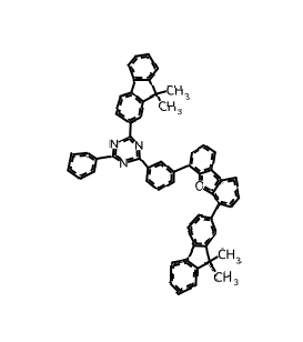 CC1(C)c2ccccc2-c2ccc(-c3nc(-c4ccccc4)nc(-c4cccc(-c5cccc6c5oc5c(-c7ccc8c(c7)C(C)(C)c7ccccc7-8)cccc56)c4)n3)cc21